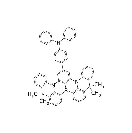 CC1(C)c2ccccc2N2c3cc(-c4ccc(N(c5ccccc5)c5ccccc5)cc4)cc4c3B(c3cccc1c32)c1cccc2c1N4c1ccccc1C2(C)C